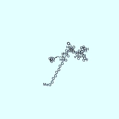 CC[C@@]1(O)C(=O)OCc2c1cc1n(c2=O)Cc2c-1nc1cc(F)c3c(c1c2CNC(=O)[C@@H](OCNC(=O)CNC(=O)[C@H](Cc1ccccc1)NC(=O)CNC(=O)CNC(=O)CC[C@H](NCCCCC#Cc1cnc(S(C)(=O)=O)nc1)C(=O)NCCOCCOCCOCCOCCOCCOCCOCCOC)C1CC1)CCC3